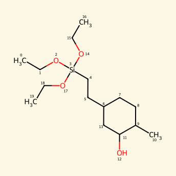 CCO[Si](CCC1CCC(C)C(O)C1)(OCC)OCC